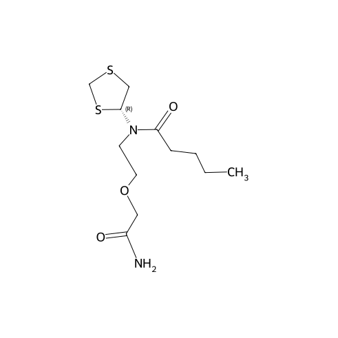 CCCCC(=O)N(CCOCC(N)=O)[C@H]1CSCS1